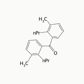 CCCc1c(C)cccc1C(=O)c1cccc(C)c1CCC